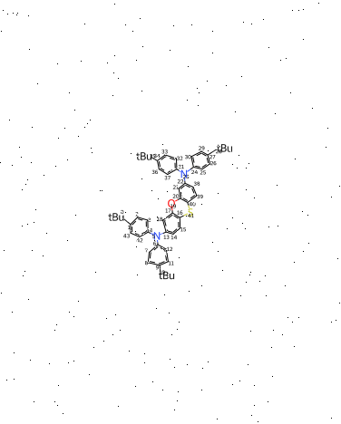 CC(C)(C)c1ccc(N(c2ccc(C(C)(C)C)cc2)c2ccc3c(c2)Oc2cc(N(c4ccc(C(C)(C)C)cc4)c4ccc(C(C)(C)C)cc4)ccc2S3)cc1